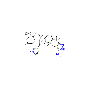 CC1(C)CCC2([C]=O)CCC3(C)C(=C(c4cc[nH]c4)CC4C5(C)Cc6c(n[nH]c6N)C(C)(C)C5CCC43C)C2C1